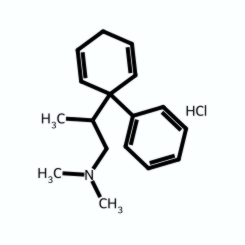 CC(CN(C)C)C1(c2ccccc2)C=CCC=C1.Cl